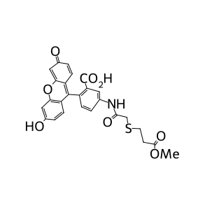 COC(=O)CCSCC(=O)Nc1ccc(-c2c3ccc(=O)cc-3oc3cc(O)ccc23)c(C(=O)O)c1